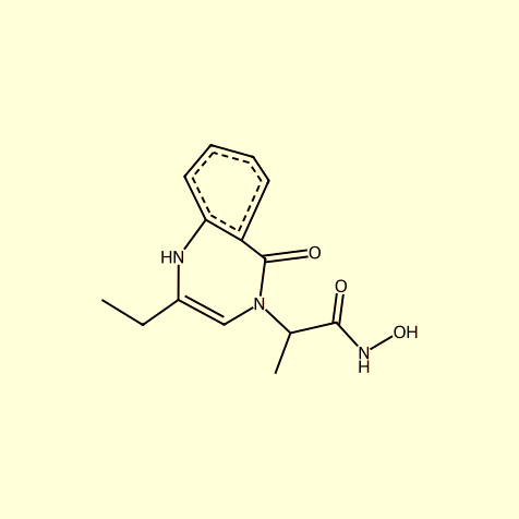 CCC1=CN(C(C)C(=O)NO)C(=O)c2ccccc2N1